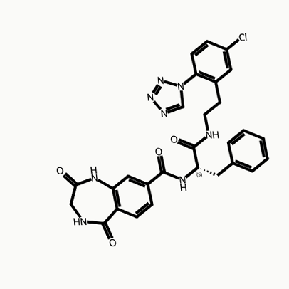 O=C1CNC(=O)c2ccc(C(=O)N[C@@H](Cc3ccccc3)C(=O)NCCc3cc(Cl)ccc3-n3cnnn3)cc2N1